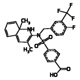 CC1=C(N(Cc2ccc(F)c(C(F)(F)F)c2)S(=O)(=O)c2ccc(C(=O)O)cc2)NC2(C)C=CC=CC2=C1